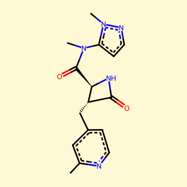 Cc1cc(C[C@H]2C(=O)N[C@@H]2C(=O)N(C)c2ccnn2C)ccn1